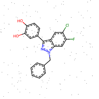 Oc1ccc(-c2nn(Cc3ccccc3)c3cc(F)c(Cl)cc23)cc1O